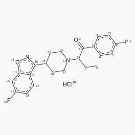 CCC(C(=O)c1ccc(F)cc1)N1CCC(c2noc3cc(F)ccc23)CC1.Cl